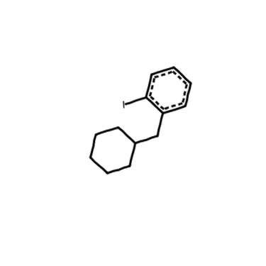 Ic1ccccc1CC1CCCCC1